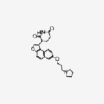 O=C1CCC(c2coc3ccc4cc(OCCCN5CCCC5)ccc4c23)C(=O)N1